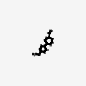 COc1ccc(C2=CC=C(C#N)C=C=C2)cc1